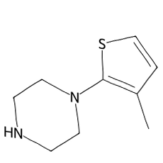 Cc1ccsc1N1CCNCC1